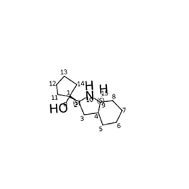 OC1([C@@H]2CC3CCCC[C@@H]3N2)CCCC1